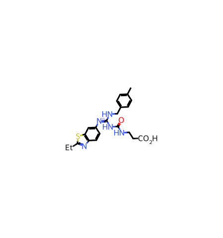 CCc1nc2ccc(/N=C(/NCc3ccc(C)cc3)NC(=O)NCCC(=O)O)cc2s1